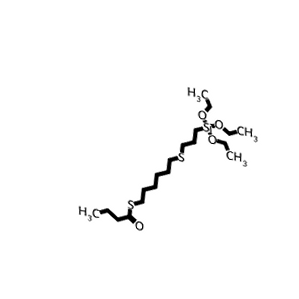 CCCC(=O)SCCCCCCSCCC[Si](OCC)(OCC)OCC